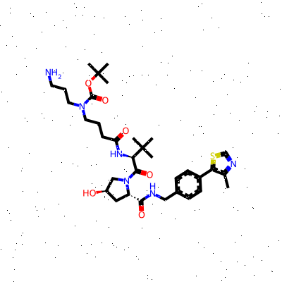 Cc1ncsc1-c1ccc(CNC(=O)[C@@H]2C[C@@H](O)CN2C(=O)[C@@H](NC(=O)CCCN(CCCN)C(=O)OC(C)(C)C)C(C)(C)C)cc1